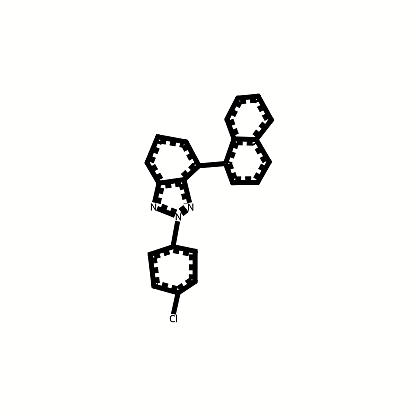 Clc1ccc(-n2nc3cccc(-c4cccc5ccccc45)c3n2)cc1